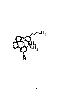 CCCCc1ccc2c(c1)c1ccccc1n2-c1c(-c2ccccc2)cc(C#N)cc1N(C)C